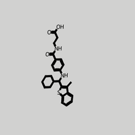 Cc1c(C(Nc2ccc(C(=O)NCCC(=O)O)cc2)C2CCCCC2)sc2ccccc12